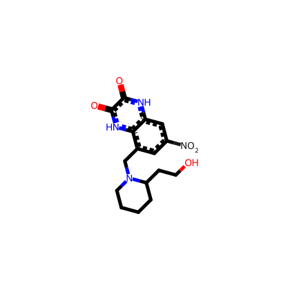 O=c1[nH]c2cc([N+](=O)[O-])cc(CN3CCCCC3CCO)c2[nH]c1=O